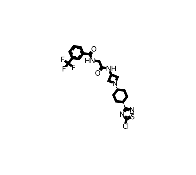 O=C(CNC(=O)c1cccc(C(F)(F)F)c1)NC1CN([C@H]2CC[C@@H](c3nsc(Cl)n3)CC2)C1